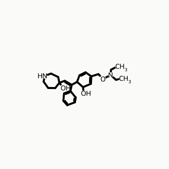 CCN(CC)OCC1=CC(O)C(/C(=C/C2(O)CCCNCC2)c2ccccc2)C=C1